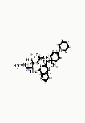 CN/C=C(/Nc1nc(NC2(C)C=CC(N3CCCCC3)=CC2)nc2ccsc12)C(=N)SC(C)C